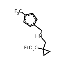 CCOC(=O)C1(CNCc2ccc(C(F)(F)F)cc2)CC1